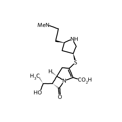 CNCC[C@@H]1C[C@H](SC2=C(C(=O)O)N3C(=O)[C@H]([C@@H](C)O)[C@H]3C2)CN1